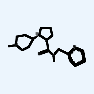 CN1CCC([C@@H]2CCCN2C(=O)N(C)Cc2ccccn2)CC1